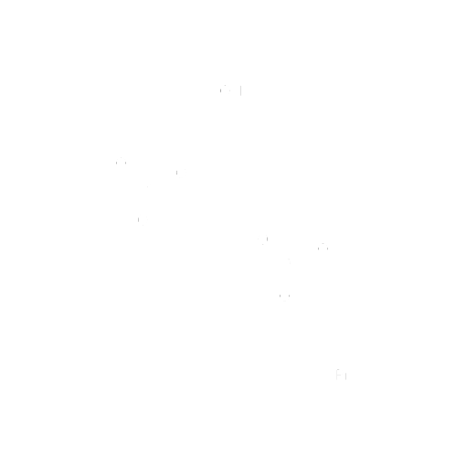 CC(C)CCOC(=O)OC1CCCC(OC(=O)OCCO)C1